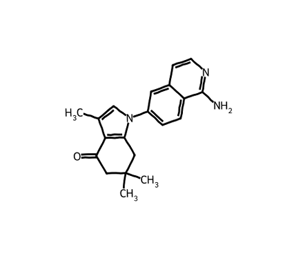 Cc1cn(-c2ccc3c(N)nccc3c2)c2c1C(=O)CC(C)(C)C2